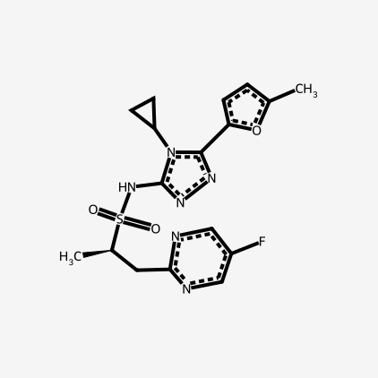 Cc1ccc(-c2nnc(NS(=O)(=O)[C@H](C)Cc3ncc(F)cn3)n2C2CC2)o1